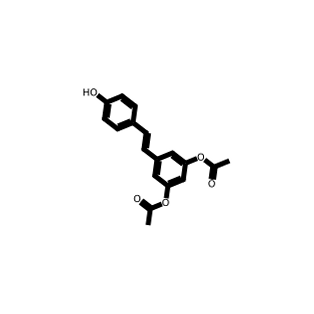 CC(=O)Oc1cc(C=Cc2ccc(O)cc2)cc(OC(C)=O)c1